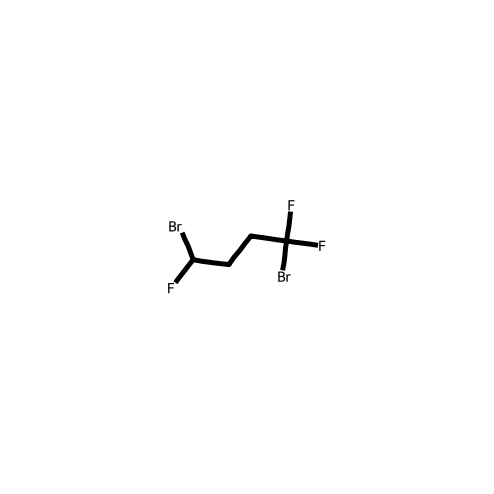 FC(Br)CCC(F)(F)Br